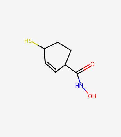 O=C(NO)C1C=CC(S)CC1